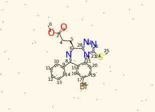 COC(=O)CC[C@@H]1N=C(c2ccccc2)c2cc(Br)ccc2-n2c(SC)nnc21